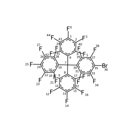 Fc1c(F)c(F)c(C(c2c(F)c(F)c(F)c(F)c2F)(c2c(F)c(F)c(F)c(F)c2F)c2c(F)c(F)c(Br)c(F)c2F)c(F)c1F